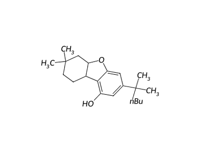 CCCCC(C)(C)c1cc(O)c2c(c1)OC1CC(C)(C)CCC21